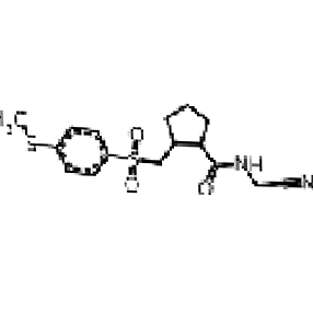 CSc1ccc(S(=O)(=O)CC2CCCC2C(=O)NCC#N)cc1